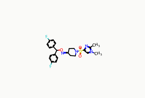 Cc1nc(S(=O)(=O)N2CCC(=NOC(c3ccc(F)cc3)c3ccc(F)cc3)CC2)cn1C